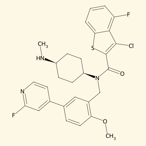 CN[C@H]1CC[C@@H](N(Cc2cc(-c3ccnc(F)c3)ccc2OC)C(=O)c2sc3cccc(F)c3c2Cl)CC1